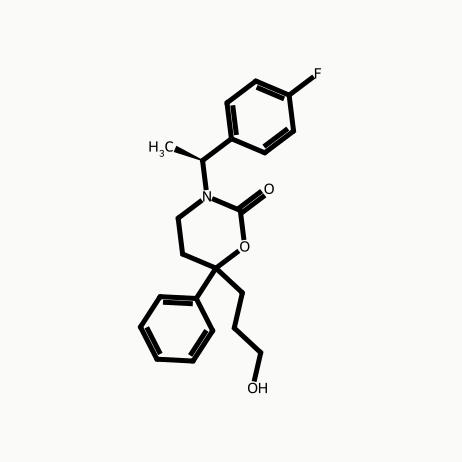 C[C@@H](c1ccc(F)cc1)N1CCC(CCCO)(c2ccccc2)OC1=O